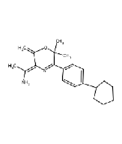 C=C1OC(C)(C)C(c2ccc(C3CCCCC3)cc2)=N/C1=C(/C)N